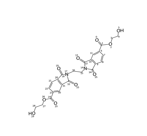 O=C(OCCO)c1ccc2c(c1)C(=O)N(CCN1C(=O)c3ccc(C(=O)OCCO)cc3C1=O)C2=O